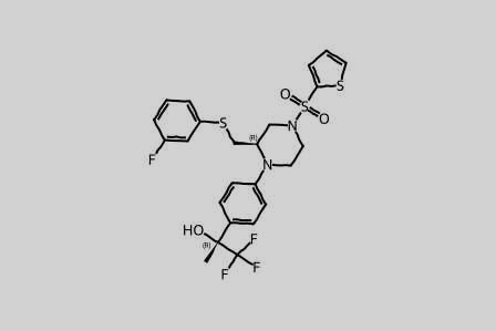 C[C@@](O)(c1ccc(N2CCN(S(=O)(=O)c3cccs3)C[C@@H]2CSc2cccc(F)c2)cc1)C(F)(F)F